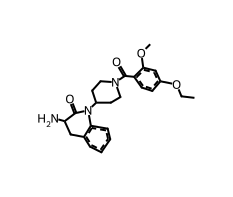 CCOc1ccc(C(=O)N2CCC(N3C(=O)C(N)Cc4ccccc43)CC2)c(OC)c1